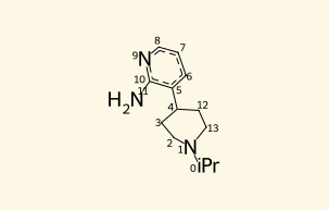 CC(C)N1CCC(c2cccnc2N)CC1